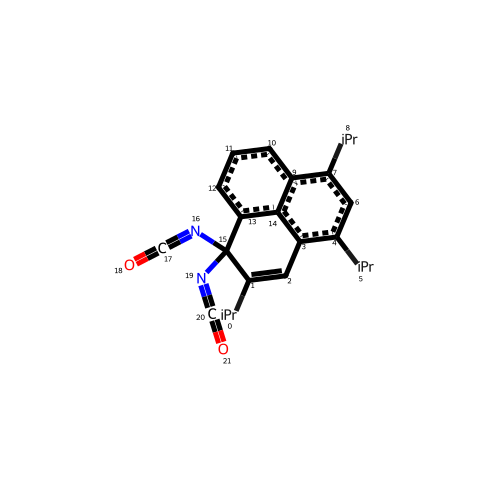 CC(C)C1=Cc2c(C(C)C)cc(C(C)C)c3cccc(c23)C1(N=C=O)N=C=O